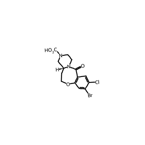 O=C(O)N1CCN2C(=O)c3cc(Cl)c(Br)cc3OCC[C@@H]2C1